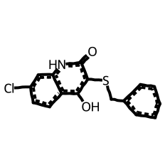 O=c1[nH]c2cc(Cl)ccc2c(O)c1SCc1ccccc1